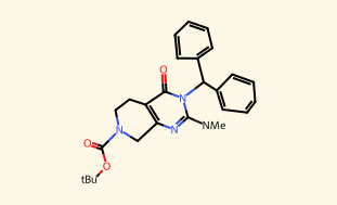 CNc1nc2c(c(=O)n1C(c1ccccc1)c1ccccc1)CCN(C(=O)OC(C)(C)C)C2